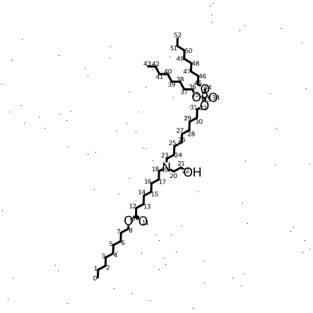 CCCCCCCCCOC(=O)CCCCCCCN(CCO)CCCCCCCCCOP(=O)(OCCCCCCCC)OCCCCCCCC